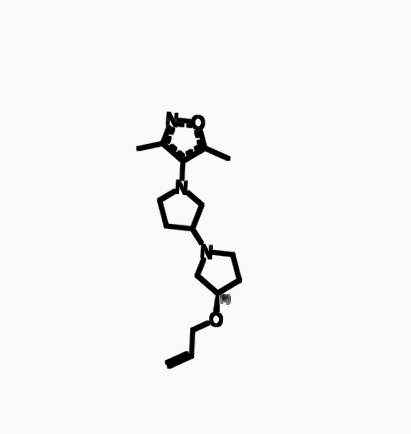 C=CCO[C@@H]1CCN(C2CCN(c3c(C)noc3C)C2)C1